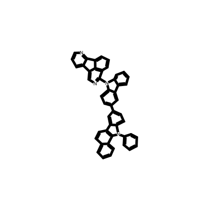 c1ccc(-n2c3ccc(-c4ccc5c(c4)c4ccccc4n5-c4ncc5c6c(cccc46)-c4ncccc4-5)cc3c3ccc4ccccc4c32)cc1